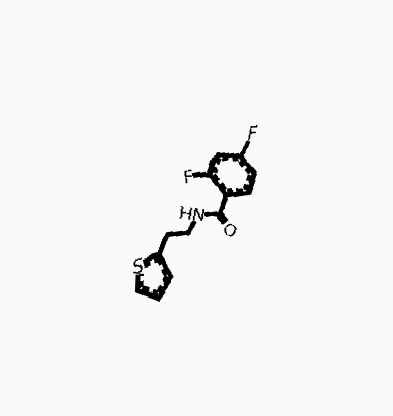 O=C(NCCc1cccs1)c1ccc(F)cc1F